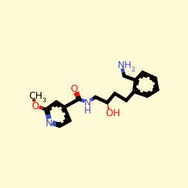 COc1cc(C(=O)NC[C@@H](O)CCc2ccccc2CN)ccn1